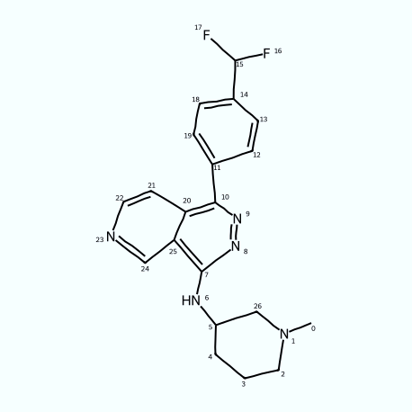 CN1CCCC(Nc2nnc(-c3ccc(C(F)F)cc3)c3ccncc23)C1